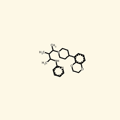 CC(Nc1ccccn1)C(C)C(C)N1CCC(c2cccc3c2OCCO3)CC1